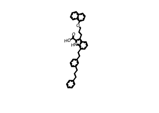 O=C(O)c1[nH]c2c(CCc3cccc(CCCc4ccccc4)c3)cccc2c1CCCOc1cccc2ccccc12